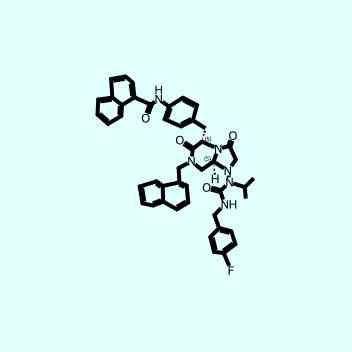 CC(C)N(C(=O)NCc1ccc(F)cc1)N1CC(=O)N2[C@@H](Cc3ccc(NC(=O)c4cccc5ccccc45)cc3)C(=O)N(Cc3cccc4ccccc34)C[C@@H]21